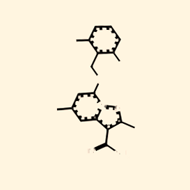 Cc1cc(OCc2c(F)cccc2F)n2nc(C)c(C(=N)N)c2c1